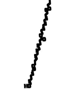 CCCOOCCSCSCSCCOC(=O)CCSCSCSCCCOOCSCCSCO